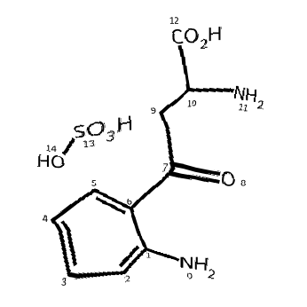 Nc1ccccc1C(=O)CC(N)C(=O)O.O=S(=O)(O)O